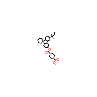 CCC(C)(C)c1ccc(C2(c3ccc(OC(=O)C4CCC(C(=O)OC)CC4)cc3)CCCCC2)cc1